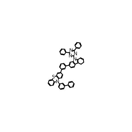 C1=Cc2c(c3ccc(-c4cccc(-c5ccc6c(c5)Sc5ccccc5N6c5cccc(-c6ccccc6)c5)c4)cc3n2-c2nc(-c3ccccc3)nc(-c3ccccc3)n2)CC1